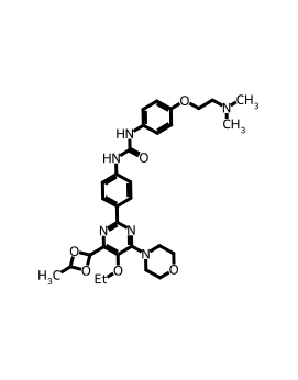 CCOc1c(C2OC(C)O2)nc(-c2ccc(NC(=O)Nc3ccc(OCCN(C)C)cc3)cc2)nc1N1CCOCC1